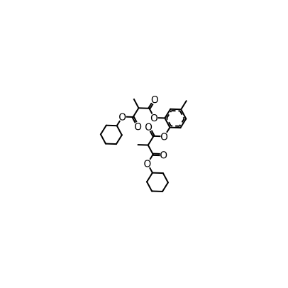 Cc1ccc(OC(=O)C(C)C(=O)OC2CCCCC2)c(OC(=O)C(C)C(=O)OC2CCCCC2)c1